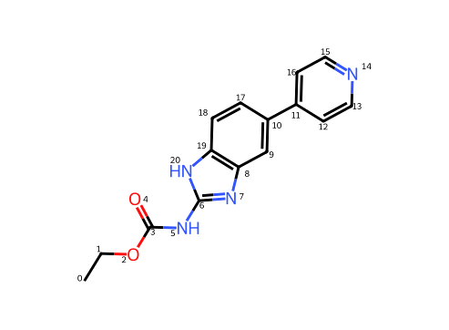 CCOC(=O)Nc1nc2cc(-c3ccncc3)ccc2[nH]1